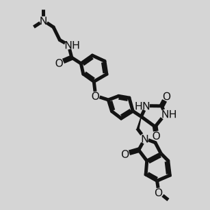 COc1ccc2c(c1)C(=O)N(C[C@@]1(c3ccc(Oc4cccc(C(=O)NCCN(C)C)c4)cc3)NC(=O)NC1=O)C2